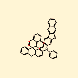 c1ccc(N(c2ccc3c(c2)C2(c4ccccc4S3)c3ccccc3-c3cccc4cccc2c34)c2ccc3c(c2)sc2cc4ccccc4cc23)cc1